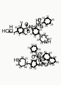 Cc1cc(C)c(S(=O)(=O)Nc2ccc(N3CCCNCC3)cc2NS(=O)(=O)c2ccccc2)c(C)c1.Cl.Cl.O=S(=O)(Nc1cc(N2CCCNCC2)ccc1NS(=O)(=O)c1cccc2cccnc12)c1ccccc1